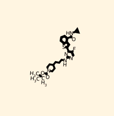 CC(C)(C)OC(=O)N1CCC(CCCNc2ncc(F)c(-c3cc4c(C(=O)NC5CC5)cccc4s3)n2)CC1